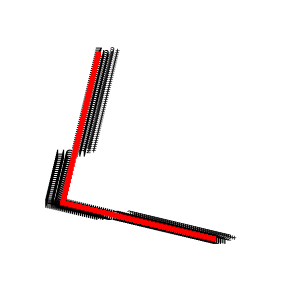 Cl.Cl.Cl.Cl.Cl.Cl.Cl.Cl.Cl.Cl.Cl.Cl.Cl.Cl.Cl.Cl.Cl.Cl.Cl.Cl.Cl.Cl.Cl.Cl.Cl.Cl.Cl.Cl.Cl.Cl.Cl.Cl.Cl.Cl.Cl.Cl.Cl.Cl.Cl.Cl.Cl.Cl.Cl.Cl.Cl.Cl.Cl.Cl.Cl.Cl.[Zn+2].[Zn+2].[Zn+2].[Zn+2].[Zn+2].[Zn+2].[Zn+2].[Zn+2].[Zn+2].[Zn+2].[Zn+2].[Zn+2].[Zn+2].[Zn+2].[Zn+2].[Zn+2].[Zn+2].[Zn+2].[Zn+2].[Zn+2].[Zn+2].[Zn+2].[Zn+2].[Zn+2].[Zn+2].[Zn+2].[Zn+2].[Zn+2].[Zn+2].[Zn+2].[Zn+2].[Zn+2].[Zn+2].[Zn+2].[Zn+2].[Zn+2].[Zn+2].[Zn+2].[Zn+2].[Zn+2].[Zn+2].[Zn+2].[Zn+2].[Zn+2].[Zn+2].[Zn+2].[Zn+2].[Zn+2].[Zn+2].[Zn+2].[Zn+2].[Zn+2].[Zn+2].[Zn+2].[Zn+2].[Zn+2].[Zn+2].[Zn+2].[Zn+2].[Zn+2].[Zn+2].[Zn+2].[Zn+2].[Zn+2].[Zn+2].[Zn+2].[Zn+2].[Zn+2].[Zn+2].[Zn+2].[Zn+2].[Zn+2].[Zn+2].[Zn+2].[Zn+2].[Zn+2].[Zn+2].[Zn+2].[Zn+2].[Zn+2].[Zn+2].[Zn+2].[Zn+2].[Zn+2].[Zn+2].[Zn+2].[Zn+2].[Zn+2].[Zn+2].[Zn+2].[Zn+2].[Zn+2].[Zn+2].[Zn+2].[Zn+2].[Zn+2].[Zn+2].[Zn+2].[Zn+2].[Zn+2]